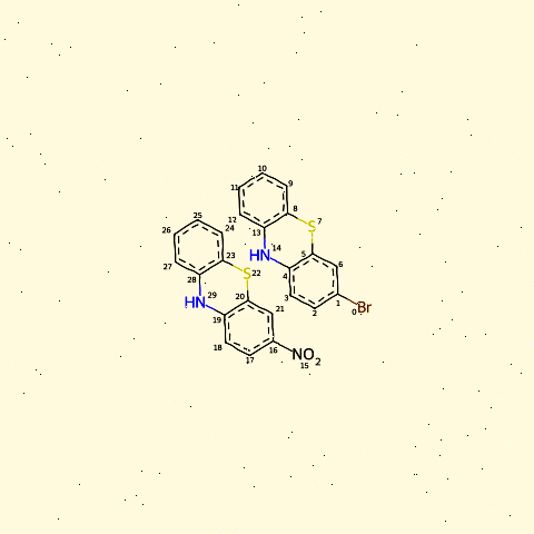 Brc1ccc2c(c1)Sc1ccccc1N2.O=[N+]([O-])c1ccc2c(c1)Sc1ccccc1N2